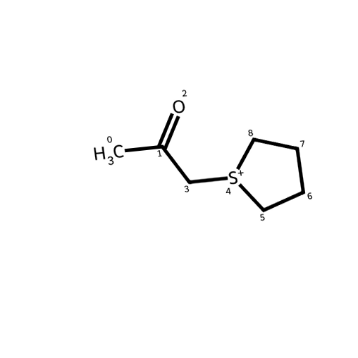 CC(=O)C[S+]1CCCC1